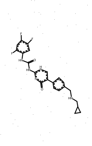 O=C(Nc1nc(=O)c(-c2ccc(CNCC3CC3)cc2)c[nH]1)Nc1cc(F)c(F)cc1F